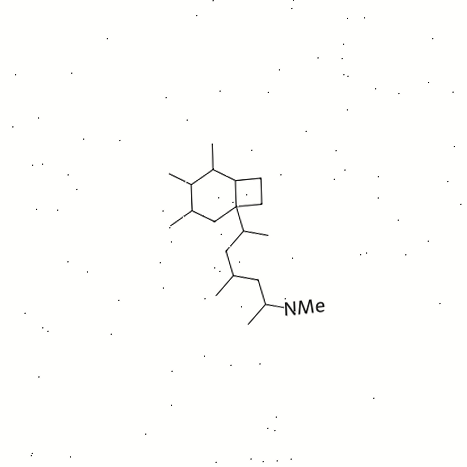 CNC(C)CC(C)CC(C)C12CCC1C(C)C(C)C(C)C2